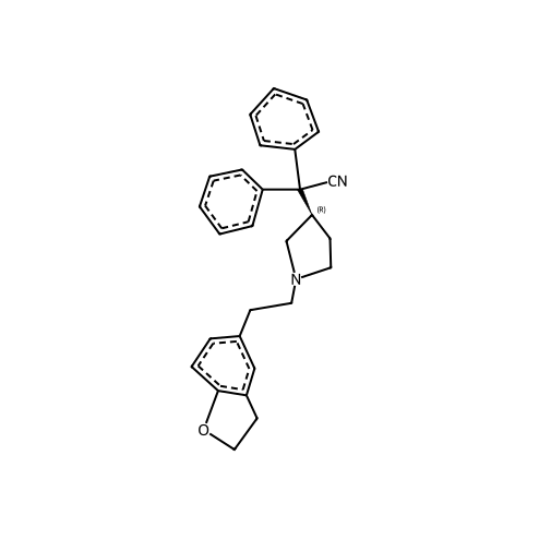 N#CC(c1ccccc1)(c1ccccc1)[C@H]1CCN(CCc2ccc3c(c2)CCO3)C1